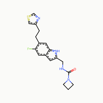 O=C(NCc1cc2cc(F)c(CCc3cscn3)cc2[nH]1)N1CCC1